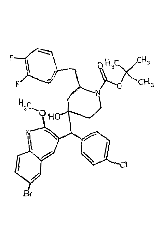 COc1nc2ccc(Br)cc2cc1C(c1ccc(Cl)cc1)C1(O)CCN(C(=O)OC(C)(C)C)C(Cc2ccc(F)c(F)c2)C1